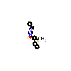 C=C(SC1CC=CC2C=CC=CC21)c1ccc(C(=O)N2CCN(CC3(C4C=CC=CC4)CC3)CC2)cc1